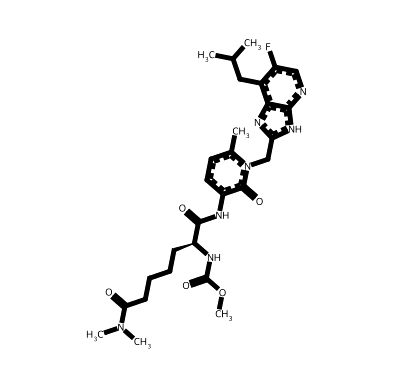 COC(=O)N[C@@H](CCCCC(=O)N(C)C)C(=O)Nc1ccc(C)n(Cc2nc3c(CC(C)C)c(F)cnc3[nH]2)c1=O